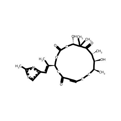 C/C(=C\c1csc(C)n1)[C@@H]1CC(=O)/C=C/CC[C@H](C)[C@H](O)[C@@H](C)C(=O)C(C)(C)[C@@H](O)CC(=O)O1